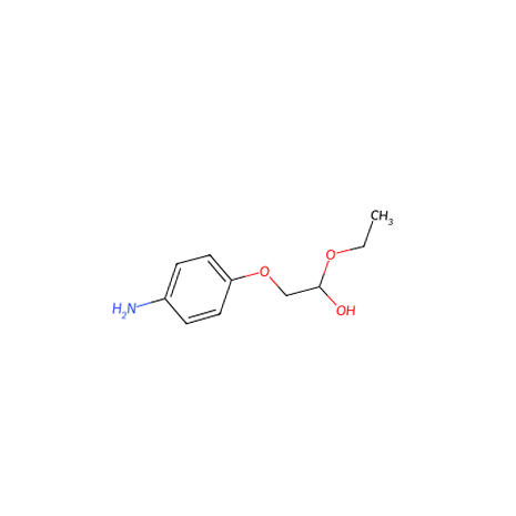 CCOC(O)COc1ccc(N)cc1